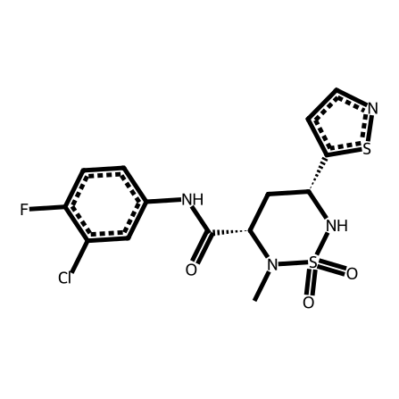 CN1[C@H](C(=O)Nc2ccc(F)c(Cl)c2)C[C@H](c2ccns2)NS1(=O)=O